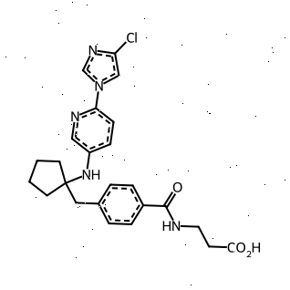 O=C(O)CCNC(=O)c1ccc(CC2(Nc3ccc(-n4cnc(Cl)c4)nc3)CCCC2)cc1